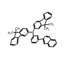 CC1(C)c2ccccc2-c2cc(N(c3cccc(-c4ccc5ccccc5c4)c3)c3ccc4c(c3)C(C)(C)c3ccccc3-4)ccc21